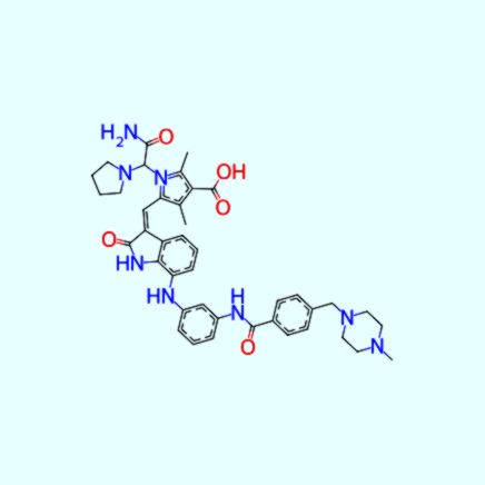 Cc1c(C(=O)O)c(C)n(C(C(N)=O)N2CCCC2)c1C=C1C(=O)Nc2c(Nc3cccc(NC(=O)c4ccc(CN5CCN(C)CC5)cc4)c3)cccc21